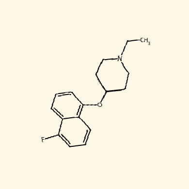 CCN1CCC(Oc2cccc3c(F)cccc23)CC1